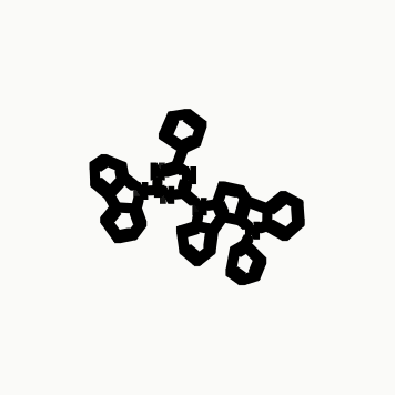 c1ccc(-c2nc(-n3c4ccccc4c4ccccc43)nc(-n3c4ccccc4c4c3ccc3c5ccccc5n(-c5ccccc5)c34)n2)cc1